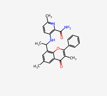 Cc1cc(C(C)Nc2ccc(C)nc2C(N)=O)c2oc(-c3ccccc3)c(C)c(=O)c2c1